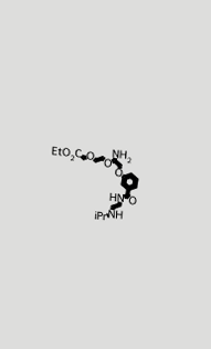 CCOC(=O)COCCOC(N)COc1cccc(C(=O)NCCNC(C)C)c1